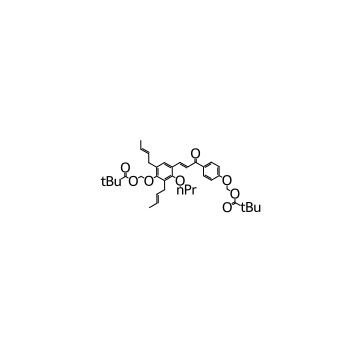 CC=CCc1cc(C=CC(=O)c2ccc(OCOC(=O)C(C)(C)C)cc2)c(OCCC)c(CC=CC)c1OCOC(=O)C(C)(C)C